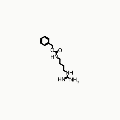 N=C(N)NCCCCNC(=O)OCc1ccccc1